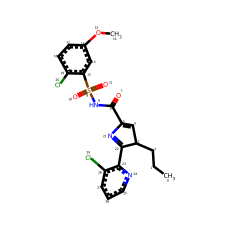 CCCC1C=C(C(=O)NS(=O)(=O)c2cc(OC)ccc2Cl)N=C1c1ncccc1Cl